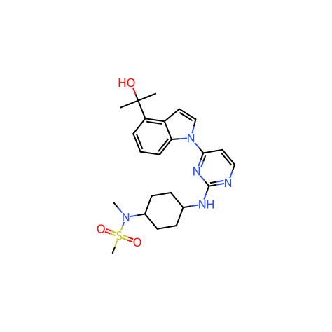 CN(C1CCC(Nc2nccc(-n3ccc4c(C(C)(C)O)cccc43)n2)CC1)S(C)(=O)=O